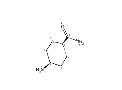 NC(=O)[C@H]1[CH]C[C@@H](N)CO1